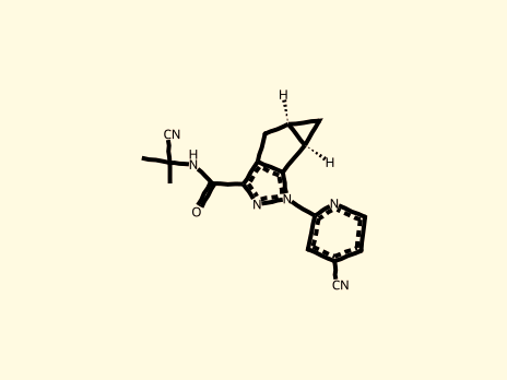 CC(C)(C#N)NC(=O)c1nn(-c2cc(C#N)ccn2)c2c1C[C@H]1C[C@@H]21